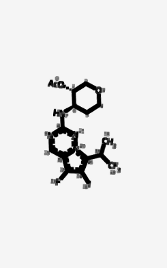 CC(=O)O[C@@H]1COCC[C@H]1Nc1ncc2c(F)c(I)c(C(C)C(F)(F)F)n2n1